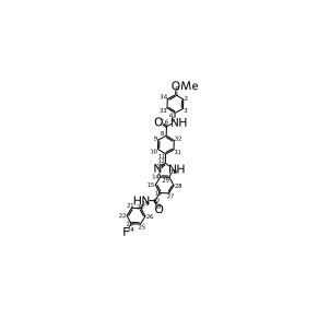 COc1ccc(NC(=O)c2ccc(-c3nc4cc(C(=O)Nc5ccc(F)cc5)ccc4[nH]3)cc2)cc1